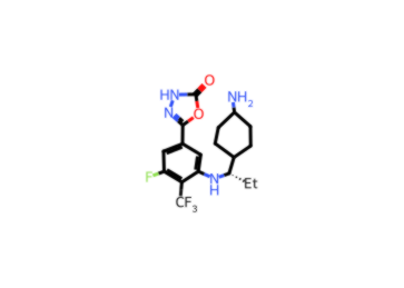 CC[C@H](Nc1cc(-c2n[nH]c(=O)o2)cc(F)c1C(F)(F)F)C1CCC(N)CC1